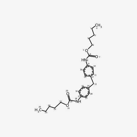 CCCCCOC(=O)Nc1ccc(Cc2ccc(NC(=O)OCCCCC)cc2)cc1